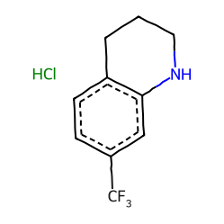 Cl.FC(F)(F)c1ccc2c(c1)NCCC2